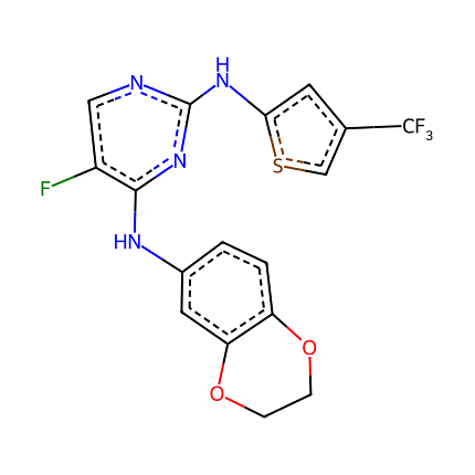 Fc1cnc(Nc2cc(C(F)(F)F)cs2)nc1Nc1ccc2c(c1)OCCO2